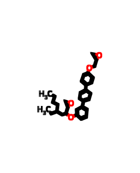 CCCCC(CC)CC(Oc1cccc(C2=CCC(c3ccc(OCC4CO4)cc3)=CC2)c1)C1CO1